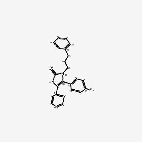 O=c1[nH]c(-c2ccncc2)c(-c2ccc(F)cc2)n1CCCc1ccccc1